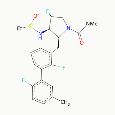 CC[S+]([O-])N[C@H]1[C@@H](F)CN(C(=O)NC)[C@H]1Cc1cccc(-c2cc(C)ccc2F)c1F